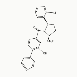 O=C(O)[C@@H]1CC[C@H](c2ccccc2Cl)N1C(=O)c1ccc(-c2ccccc2)c(O)c1